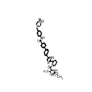 COC(=O)N[C@H](C(=O)N1CCC[C@@H]1c1ncc(-c2ccc(-c3ccc(C(=O)Nc4ccc(CN5CCS(=O)(=O)CC5)cc4)cc3)cc2)[nH]1)C(C)C